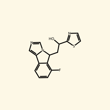 OC(CC1c2c(F)cccc2-c2cncn21)c1nccs1